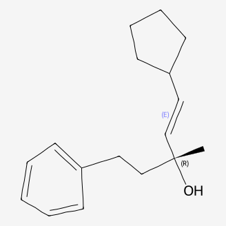 C[C@](O)(/C=C/C1CCCC1)CCc1ccccc1